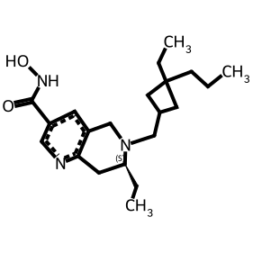 CCCC1(CC)CC(CN2Cc3cc(C(=O)NO)cnc3C[C@@H]2CC)C1